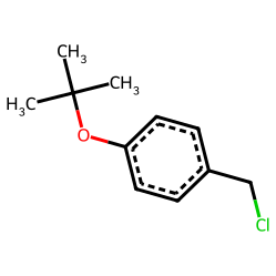 CC(C)(C)Oc1ccc(CCl)cc1